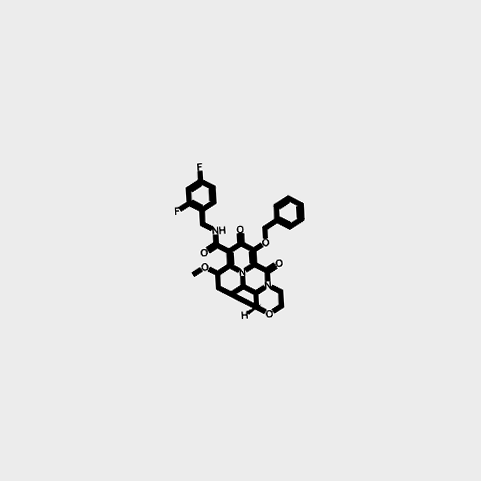 COC1CC2C3C4[C@@H]2OCCN4C(=O)c2c(OCc4ccccc4)c(=O)c(C(=O)NCc4ccc(F)cc4F)c1n23